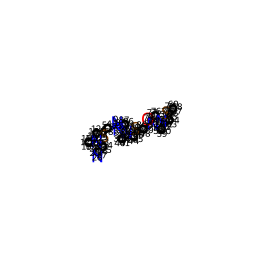 Cn1c(-c2ccc3c(c2)sc2c3ccc3c4ccccc4n(-c4cccc5cnccc45)c32)nc2c(-n3c4ccccc4c4ccc5c6ccc(-c7nc8c(-n9c%10ccccc%10c%10ccc%11c%12ccccc%12sc%11c%109)cccc8o7)cc6sc5c43)cccc21